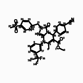 COC(=O)C1=C(C)N(c2cccc(C(F)(F)F)c2)c2nn(Cc3ccc(S(C)(=O)=O)cn3)c(=O)n2C1c1ccc(C#N)cc1